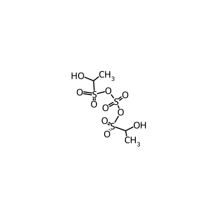 CC(O)S(=O)(=O)OS(=O)(=O)OS(=O)(=O)C(C)O